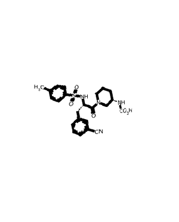 Cc1ccc(S(=O)(=O)N[C@@H](Cc2cccc(C#N)c2)C(=O)N2CCC[C@H](NC(=O)O)C2)cc1